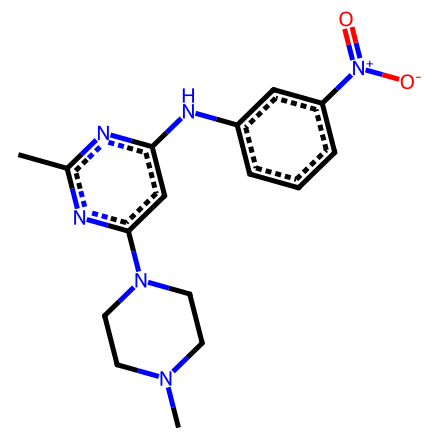 Cc1nc(Nc2cccc([N+](=O)[O-])c2)cc(N2CCN(C)CC2)n1